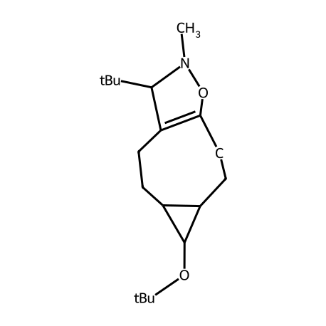 CN1OC2=C(CCC3C(CC2)C3OC(C)(C)C)C1C(C)(C)C